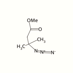 COC(=O)CC(C)(C)N=[N+]=[N-]